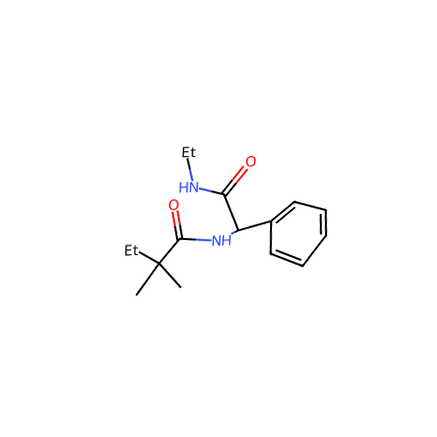 CCNC(=O)C(NC(=O)C(C)(C)CC)c1ccccc1